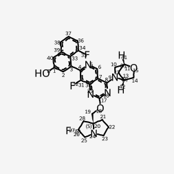 Oc1cc(-c2ncc3c(N4C[C@H]5C[C@@H]4CO5)nc(OC[C@@]45CCCN4C[C@H](F)C5)nc3c2F)c2c(F)cccc2c1